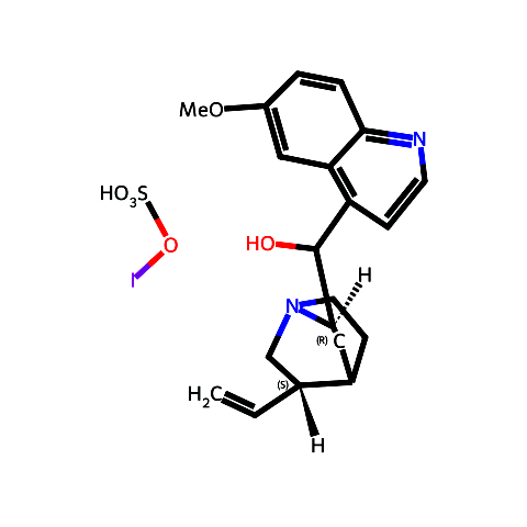 C=C[C@@H]1CN2CCC1C[C@@H]2C(O)c1ccnc2ccc(OC)cc12.O=S(=O)(O)OI